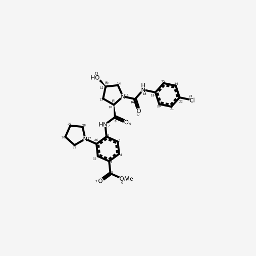 COC(=O)c1ccc(NC(=O)[C@H]2C[C@@H](O)CN2C(=O)Nc2ccc(Cl)cc2)c(N2CCCC2)c1